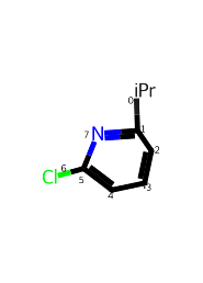 CC(C)c1c[c]cc(Cl)n1